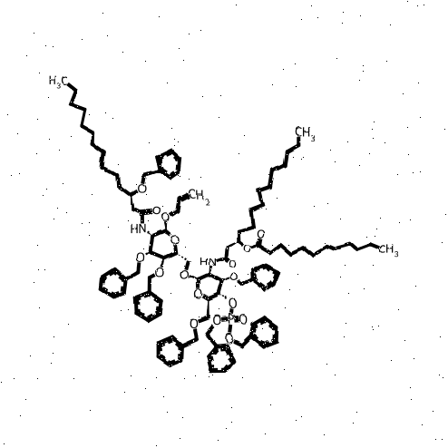 C=CCO[C@H]1O[C@H](CO[C@@H]2O[C@H](COCc3ccccc3)[C@@H](OP(=O)(OCc3ccccc3)OCc3ccccc3)[C@H](OCc3ccccc3)[C@@H]2NC(=O)C[C@@H](CCCCCCCCCCC)OC(=O)CCCCCCCCCCC)[C@@H](OCc2ccccc2)[C@H](OCc2ccccc2)[C@@H]1NC(=O)C[C@@H](CCCCCCCCCCC)OCc1ccccc1